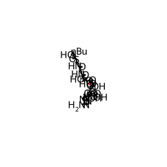 CCCCC(O)CC(=O)SCCNC(=O)CCNC(=O)[C@H](O)C(C)(C)COP(=O)(O)OP(=O)(O)OC[C@H]1O[C@H](n2cnc3c(N)ncnc32)[C@H](O)[C@@H]1OP(=O)(O)O